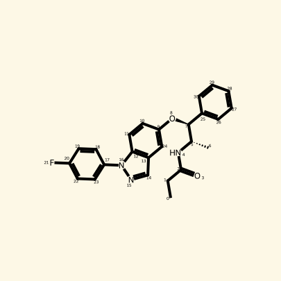 CCC(=O)N[C@@H](C)[C@@H](Oc1ccc2c(cnn2-c2ccc(F)cc2)c1)c1ccccc1